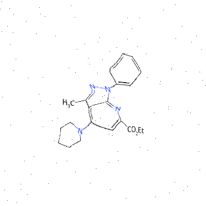 CCOC(=O)c1cc(N2CCCCC2)c2c(C)nn(-c3ccccc3)c2n1